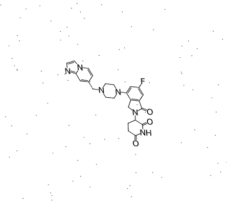 O=C1CCC(N2Cc3c(cc(F)cc3N3CCN(Cc4ccn5ccnc5c4)CC3)C2=O)C(=O)N1